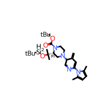 C=C1C=C(n2c(C)ccc2C)N=CC1N1CCN(C(=O)OC(C)(C)C)[C@@H](C(C)(C)O[SiH2]C(C)(C)C)C1